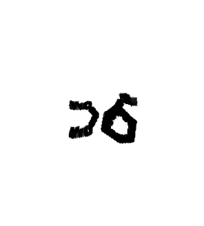 CC(C)(C)c1ccccc1.COCOC